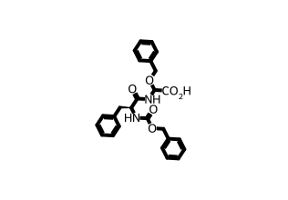 O=C(N[C@@H](Cc1ccccc1)C(=O)NC(OCc1ccccc1)C(=O)O)OCc1ccccc1